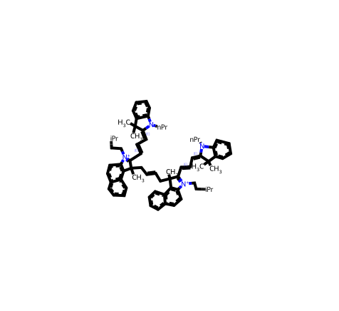 CCCN1/C(=C/C=C/C2=[N+](CCC(C)C)c3ccc4ccccc4c3C2(C)CC=CCC2(C)C(/C=C/C=C3/N(CCC)c4ccccc4C3(C)C)=[N+](CCC(C)C)c3ccc4ccccc4c32)C(C)(C)c2ccccc21